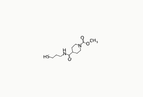 COC(=O)N1CCC(C(=O)NCCCS)CC1